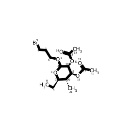 CC[C@H]1OC(OCCCBr)[C@@H](OC(C)=O)[C@@H](OC(C)=O)[C@@H]1C